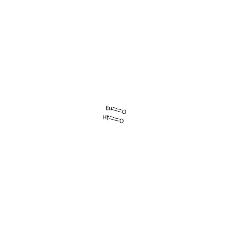 [O]=[Eu].[O]=[Hf]